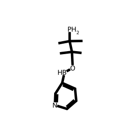 CC(C)(P)C(C)(C)OBc1cccnc1